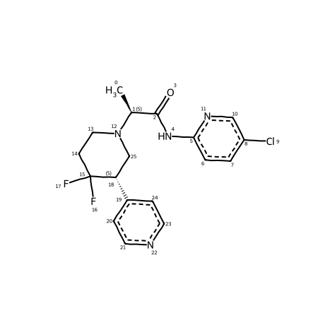 C[C@@H](C(=O)Nc1ccc(Cl)cn1)N1CCC(F)(F)[C@@H](c2ccncc2)C1